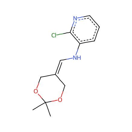 CC1(C)OCC(=CNc2cccnc2Cl)CO1